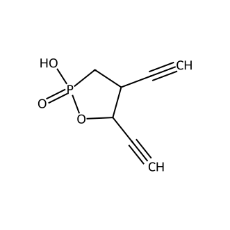 C#CC1CP(=O)(O)OC1C#C